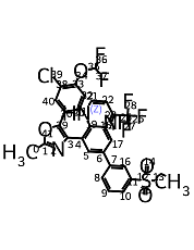 Cc1nc(-c2cc(-c3cccc(S(C)(=O)=O)c3)ccc2N/C=C\C(=N)C(F)(F)F)c(-c2ccc(OC(F)F)c(Cl)c2)o1